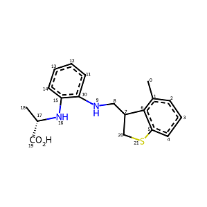 Cc1cccc2c1C(CNc1ccccc1N[C@@H](C)C(=O)O)CS2